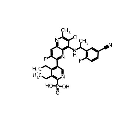 CCc1c(-c2nc3c(NC(C)c4cc(C#N)ccc4F)c(Cl)c(C)nc3cc2F)cnc(P(=O)(O)O)c1CC